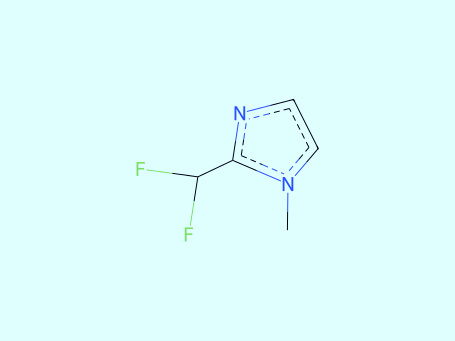 Cn1ccnc1C(F)F